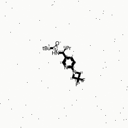 CC(C)[C@H](N[S+]([O-])C(C)(C)C)c1ccc(N2CC(F)(F)C2)nc1